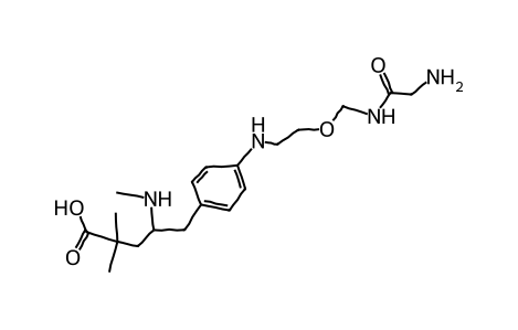 CNC(Cc1ccc(NCCOCNC(=O)CN)cc1)CC(C)(C)C(=O)O